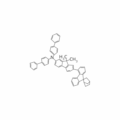 CC1(C)c2cc(-c3cccc4c3-c3ccccc3C43CC4CCC3C4)ccc2-c2ccc(N(c3ccc(-c4ccccc4)cc3)c3ccc(-c4ccccc4)cc3)cc21